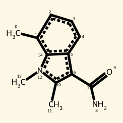 Cc1cccc2c(C(N)=O)c(C)n(C)c12